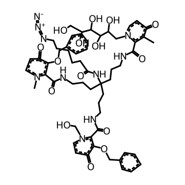 Cc1c(C(=O)NCCCC(CCCNC(=O)c2c(OCc3ccccc3)c(=O)ccn2C)(CCCNC(=O)c2c(OCc3ccccc3)c(=O)ccn2CO)NC(=O)CCCCCN=[N+]=[N-])n(CC(O)C(O)C(O)C(O)CO)ccc1=O